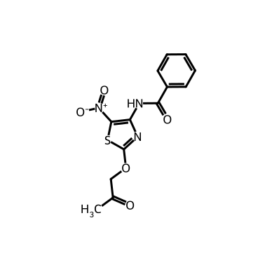 CC(=O)COc1nc(NC(=O)c2ccccc2)c([N+](=O)[O-])s1